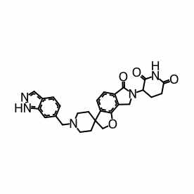 O=C1CCC(N2Cc3c(ccc4c3OCC43CCN(Cc4ccc5cn[nH]c5c4)CC3)C2=O)C(=O)N1